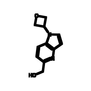 OCc1ccc2c(ccn2C2COC2)n1